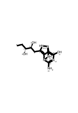 CC[C@@H](O)[C@@H](O)CC1=C2C3=C(O)N=C(N)N2NN3N1